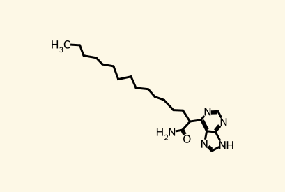 CCCCCCCCCCCCCCC(C(N)=O)c1ncnc2[nH]cnc12